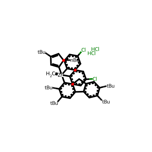 Cl.Cl.[CH2]=[Zr]([C]1=CC(C(C)(C)C)=CC1CCCC)([c]1ccc(Cl)cc1)([c]1ccc(Cl)cc1)[c]1c2c(cc(C(C)(C)C)c1C(C)(C)C)-c1cc(C(C)(C)C)c(C(C)(C)C)cc1C2